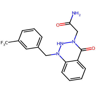 NC(=O)CN1NN(Cc2cccc(C(F)(F)F)c2)c2ccccc2C1=O